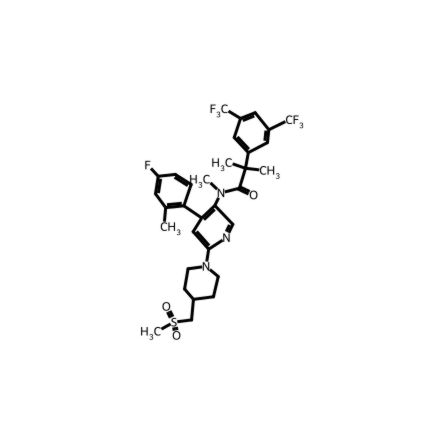 Cc1cc(F)ccc1-c1cc(N2CCC(CS(C)(=O)=O)CC2)ncc1N(C)C(=O)C(C)(C)c1cc(C(F)(F)F)cc(C(F)(F)F)c1